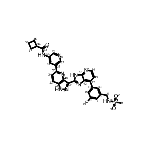 CS(=O)(=O)NCc1cc(F)cc(-c2ccnc3[nH]c(-c4n[nH]c5ccc(-c6cncc(NC(=O)C7CCC7)c6)nc45)nc23)c1